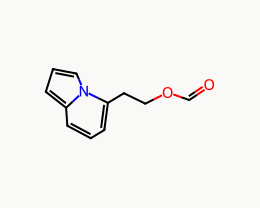 O=COCCc1cccc2cccn12